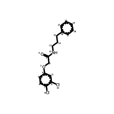 O=C(COc1ccc(Cl)c(Cl)c1)NCCCc1ccccc1